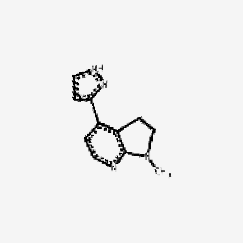 CN1CCc2c(-c3cc[nH]n3)ccnc21